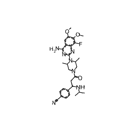 COc1cc2c(N)nc(N3C(C)CN(C(=O)CC(NC(C)C)c4ccc(C#N)cc4)CC3C)nc2c(F)c1OC